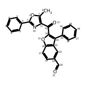 Cc1oc(-c2ccccc2)nc1C(=O)c1oc2ccc(C=O)cc2c1-c1ccccc1